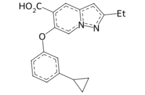 CCc1cc2cc(C(=O)O)c(Oc3cccc(C4CC4)c3)cn2n1